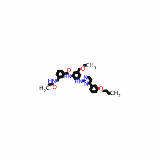 C=CCCOc1cccc(-c2ccnc(Nc3cc(COCC)cc(NC(=O)c4cccc(CNC(=O)C=C)c4)c3)n2)c1